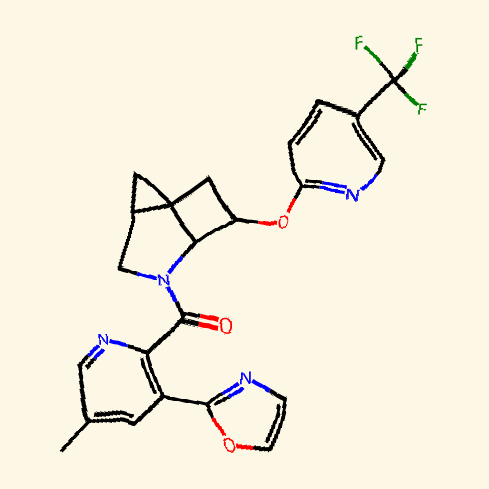 Cc1cnc(C(=O)N2CC3CC34CC(Oc3ccc(C(F)(F)F)cn3)C24)c(-c2ncco2)c1